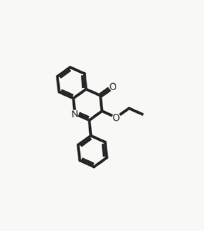 CCOC1C(=O)c2ccccc2N=C1c1ccccc1